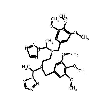 COc1cc(CN(CCN(Cc2cc(OC)c(OC)c(OC)c2)C(C)n2ncnn2)C(C)n2ncnn2)cc(OC)c1OC